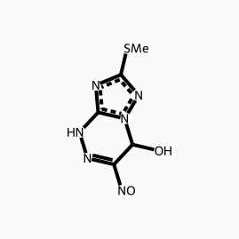 CSc1nc2n(n1)C(O)C(N=O)=NN2